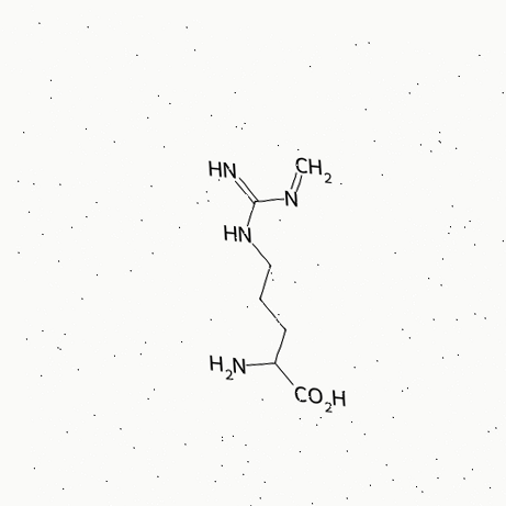 C=NC(=N)NCCCC(N)C(=O)O